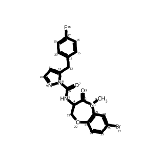 CN1C(=O)C(NC(=O)n2nccc2Cc2ccc(F)cc2)COc2ccc(Br)cc21